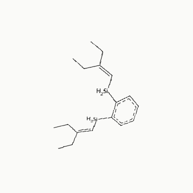 CCC(=C[SiH2]c1ccccc1[SiH2]C=C(CC)CC)CC